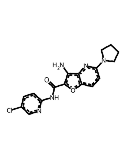 Nc1c(C(=O)Nc2ccc(Cl)cn2)oc2ccc(N3CCCC3)nc12